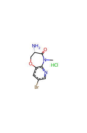 CN1C(=O)[C@@H](N)COc2cc(Br)cnc21.Cl